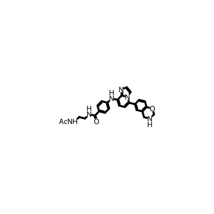 CC(=O)NCCNC(=O)c1ccc(Nc2ccc(-c3ccc4c(c3)CNCO4)n3ccnc23)cc1